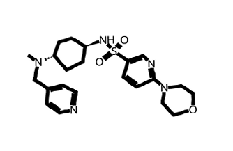 CN(Cc1ccncc1)[C@H]1CC[C@H](NS(=O)(=O)c2ccc(N3CCOCC3)nc2)CC1